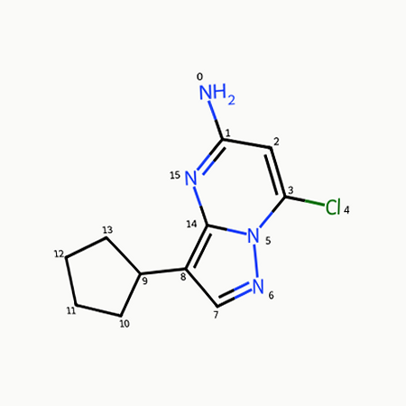 Nc1cc(Cl)n2ncc(C3CCCC3)c2n1